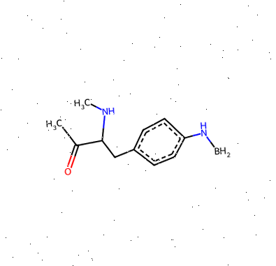 BNc1ccc(CC(NC)C(C)=O)cc1